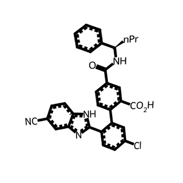 CCC[C@@H](NC(=O)c1ccc(-c2cc(Cl)ccc2-c2nc3cc(C#N)ccc3[nH]2)c(C(=O)O)c1)c1ccccc1